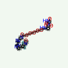 O=C1CCC(N2C(=O)c3cccc(NCCOCCOCCOCCOCCOCCC(=O)N4CCC(n5cc(-c6cnc7cccc(-c8cc(F)c(CN9CCOCC9)c(F)c8)c7n6)cn5)CC4)c3C2=O)C(=O)N1